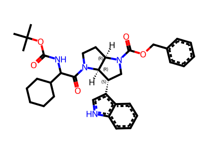 CC(C)(C)OC(=O)NC(C(=O)N1CC[C@@H]2[C@H]1[C@@H](c1c[nH]c3ccccc13)CN2C(=O)OCc1ccccc1)C1CCCCC1